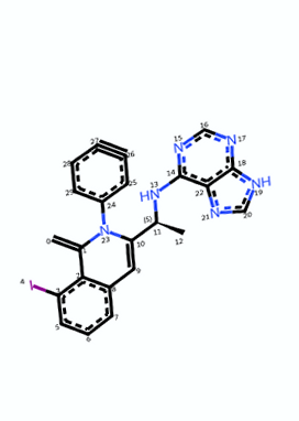 C=C1c2c(I)cccc2C=C([C@H](C)Nc2ncnc3[nH]cnc23)N1c1cc#ccc1